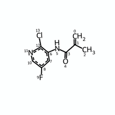 C=C(C)C(=O)Nc1cc(F)cnc1Cl